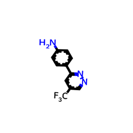 Nc1ccc(-c2cc(C(F)(F)F)cnn2)cc1